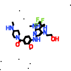 C=C(C1C(NCCO)=CC(Nc2ccc(C(=O)N3CCC(NCC)CC3)cc2OC)=NC1NC)C(F)(F)F